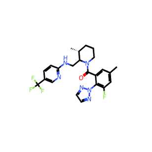 Cc1cc(F)c(-n2nccn2)c(C(=O)N2CCC[C@@H](C)C2CNc2ccc(C(F)(F)F)cn2)c1